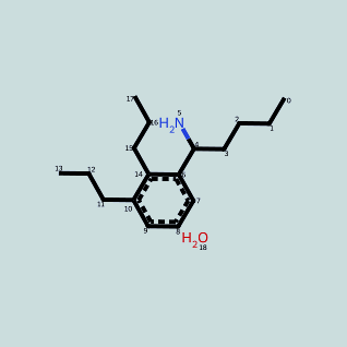 CCCCC(N)c1cccc(CCC)c1CCC.O